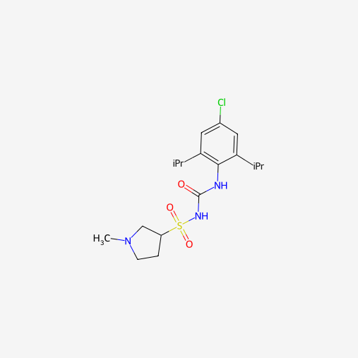 CC(C)c1cc(Cl)cc(C(C)C)c1NC(=O)NS(=O)(=O)C1CCN(C)C1